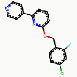 Fc1cc(Cl)ccc1COc1cccc(-c2ccncc2)n1